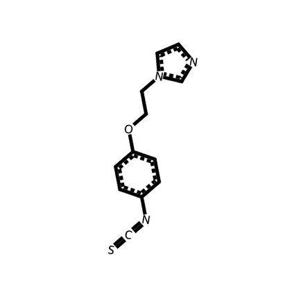 S=C=Nc1ccc(OCCn2ccnc2)cc1